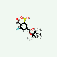 CC1(C)OB(C2=CC(=S(=O)=O)C(CO)C(F)=C2)OC1(C)C